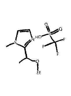 CCOC(C)c1nccn1C.O=S(=O)(O)C(F)(F)F